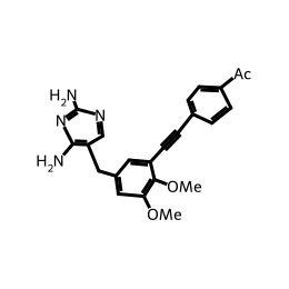 COc1cc(Cc2cnc(N)nc2N)cc(C#Cc2ccc(C(C)=O)cc2)c1OC